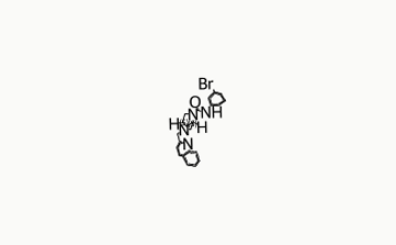 O=C(Nc1cccc(Br)c1)N1C[C@@H]2C[C@H]1CN2Cc1ccc2ccccc2n1